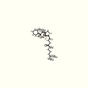 CCCCN(CCCC)CCCNC(=O)CC[C@@H](C)[C@H]1CC[C@H]2[C@@H]3CCC4CCCC[C@]4(C)[C@H]3CC[C@]12C